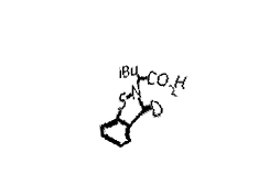 CCC(C)C(C(=O)O)n1sc2ccccc2c1=O